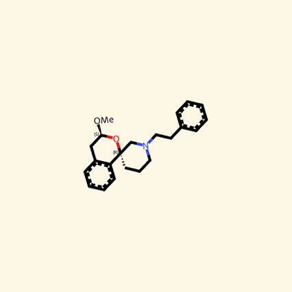 CO[C@@H]1Cc2ccccc2[C@@]2(CCCN(CCc3ccccc3)C2)O1